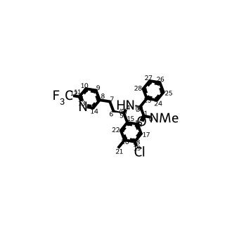 CNC(=O)[C@H](N[C@H](CCc1ccc(C(F)(F)F)nc1)c1ccc(Cl)c(C)c1)c1ccccc1